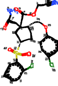 N#CCOC(=O)[C@]1(C(N)=O)C[C@@H](S(=O)(=O)c2ccccc2Cl)C[C@H]1COc1ccc(Cl)cc1